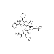 CC(C)(C)[C@H](NC(=O)[C@@H](NC(=O)c1cnccn1)C1CCCCC1)C(=O)N1CC(C(C)(C)C2(C)CCC2)C[C@H]1C(=O)NC(CC1CCC1)C(=O)C(N)=O